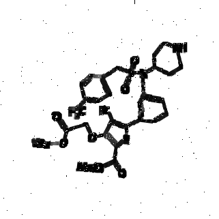 COC(=O)c1sc(-c2cccc(N(C3CCNCC3)S(=O)(=O)Cc3ccc(C(F)(F)F)cc3)c2)c(Br)c1OCC(=O)OC(C)(C)C